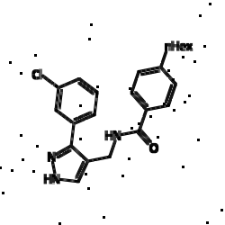 CCCCCCc1ccc(C(=O)NCc2c[nH]nc2-c2cccc(Cl)c2)cc1